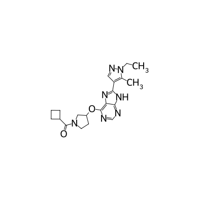 CCn1ncc(-c2nc3c(OC4CCN(C(=O)C5CCC5)C4)ncnc3[nH]2)c1C